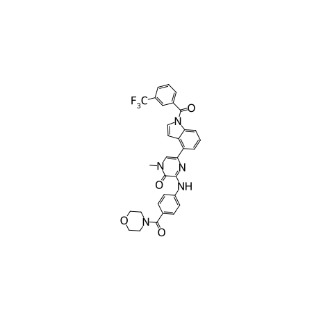 Cn1cc(-c2cccc3c2ccn3C(=O)c2cccc(C(F)(F)F)c2)nc(Nc2ccc(C(=O)N3CCOCC3)cc2)c1=O